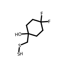 OC1(CSS)CCC(F)(F)CC1